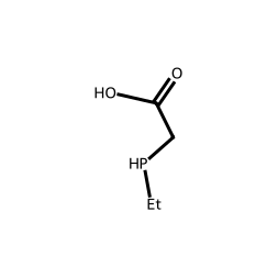 CCPCC(=O)O